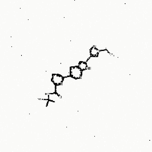 CC(C)(C#N)NC(=O)c1cccc(-c2cnc3[nH]c(-c4cnn(CC(F)(F)F)c4)cc3c2)n1